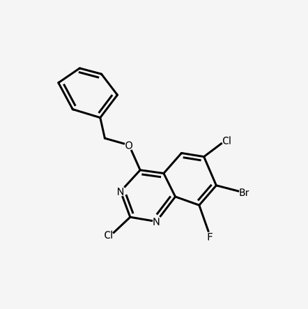 Fc1c(Br)c(Cl)cc2c(OCc3ccccc3)nc(Cl)nc12